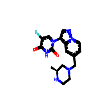 C[C@H]1CN(Cc2ccn3ncc(-n4cc(F)c(=O)[nH]c4=O)c3c2)CCN1